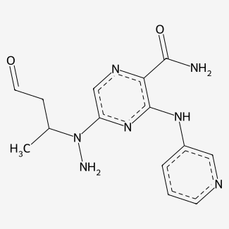 CC(CC=O)N(N)c1cnc(C(N)=O)c(Nc2cccnc2)n1